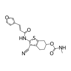 CNC(=O)OC1CCc2c(sc(NC(=O)C=Cc3ccoc3)c2C#N)C1